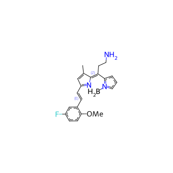 Bn1cccc1/C(CCN)=C1N=C(/C=C/c2cc(F)ccc2OC)C=C\1C